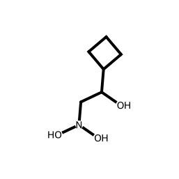 OC(CN(O)O)C1CCC1